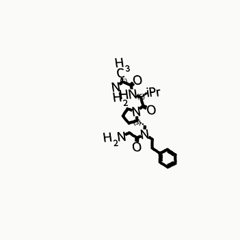 CC(C)[C@H](NC(=O)[C@H](C)N)C(=O)N1CCC[C@H]1CN(CCc1ccccc1)C(=O)CN